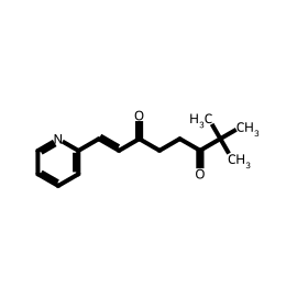 CC(C)(C)C(=O)CCC(=O)/C=C/c1ccccn1